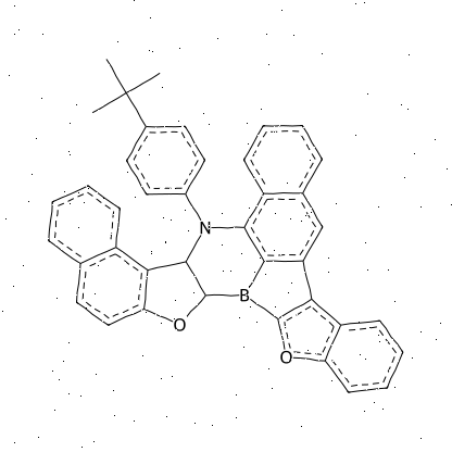 CC(C)(C)c1ccc(N2c3c4c(cc5ccccc35)-c3c(oc5ccccc35)B4C3Oc4ccc5ccccc5c4C32)cc1